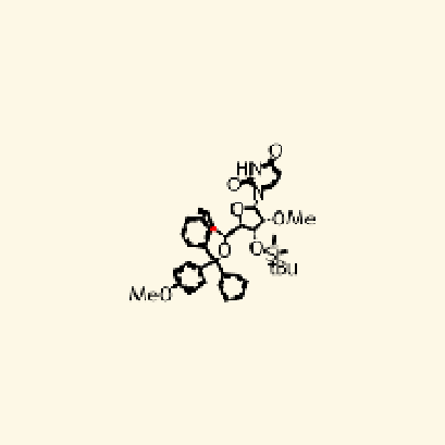 C=CC[C@H](OC(c1ccccc1)(c1ccccc1)c1ccc(OC)cc1)[C@H]1O[C@@H](n2ccc(=O)[nH]c2=O)[C@H](OC)[C@@H]1O[Si](C)(C)C(C)(C)C